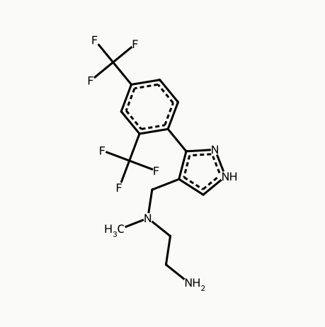 CN(CCN)Cc1c[nH]nc1-c1ccc(C(F)(F)F)cc1C(F)(F)F